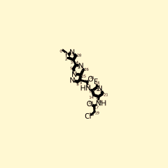 Cn1cc(-c2cn3ncc(C(=O)Nc4cc(NC(=O)CCl)cnc4F)c3cn2)cn1